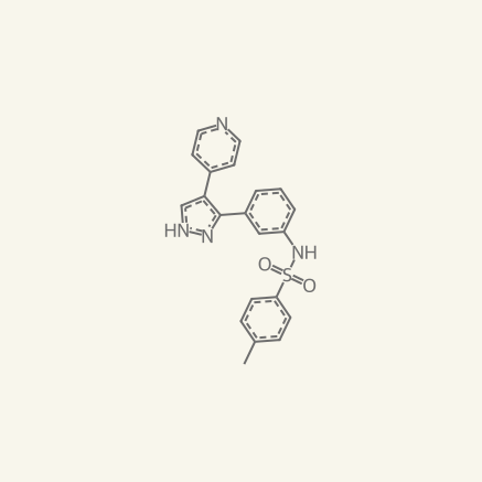 Cc1ccc(S(=O)(=O)Nc2cccc(-c3n[nH]cc3-c3ccncc3)c2)cc1